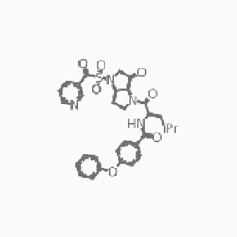 CC(C)CC(NC(=O)c1ccc(Oc2ccccc2)cc1)C(=O)N1CCC2C1C(=O)CN2S(=O)(=O)C(=O)c1cccnc1